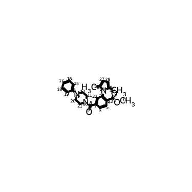 COC(=O)c1ccc(C(=O)N2CCN(c3ccccc3)CC2)cc1-n1c(C)ccc1C